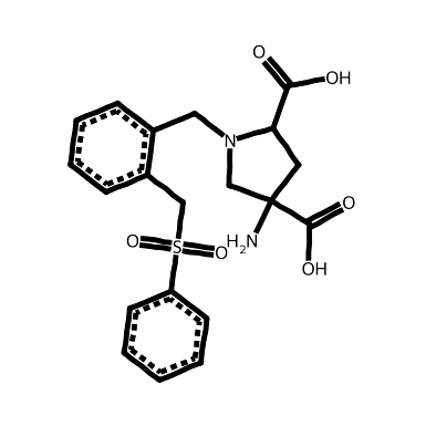 NC1(C(=O)O)CC(C(=O)O)N(Cc2ccccc2CS(=O)(=O)c2ccccc2)C1